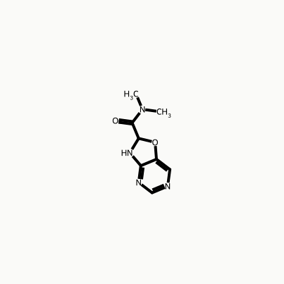 CN(C)C(=O)C1Nc2ncncc2O1